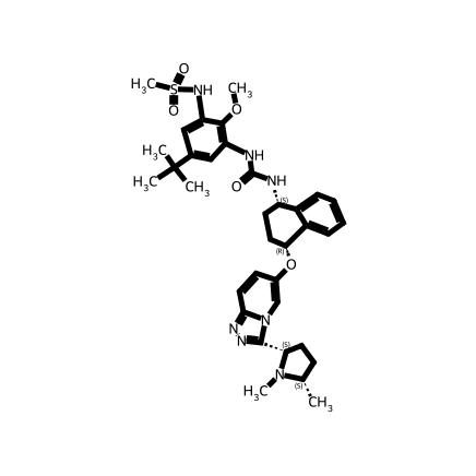 COc1c(NC(=O)N[C@H]2CC[C@@H](Oc3ccc4nnc([C@@H]5CC[C@H](C)N5C)n4c3)c3ccccc32)cc(C(C)(C)C)cc1NS(C)(=O)=O